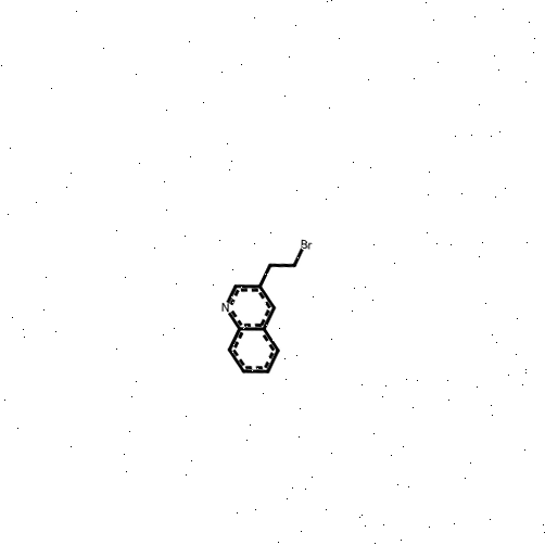 BrCCc1cnc2ccccc2c1